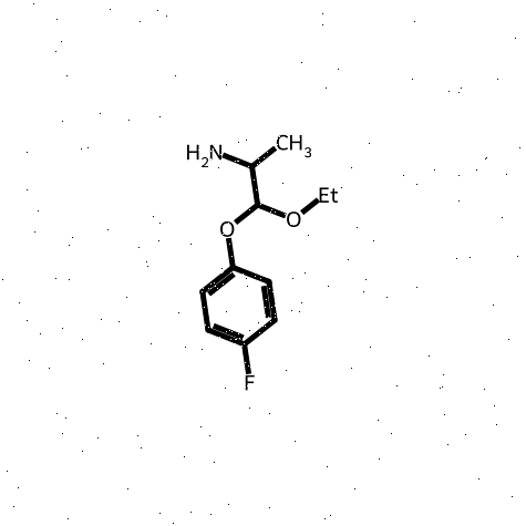 CCOC(Oc1ccc(F)cc1)C(C)N